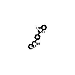 C=C(Nc1ccccc1N)c1ccc(C(Cc2cccnc2)NC(=O)O)cc1